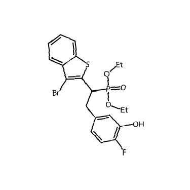 CCOP(=O)(OCC)C(Cc1ccc(F)c(O)c1)c1sc2ccccc2c1Br